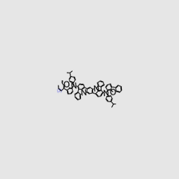 C=Cc1oc2c(N(c3ccc(C(C)C)cc3)c3ccc4c5cc6c(cc5n5c7ccccc7c3c45)c3ccc(N(c4ccc(C(C)C)cc4)c4cccc5c4oc4ccccc45)c4c5ccccc5n6c34)cccc2c1/C=C\C